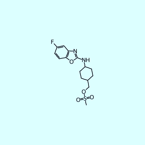 CS(=O)(=O)OCC1CCC(Nc2nc3cc(F)ccc3o2)CC1